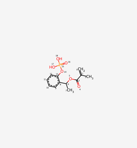 C=C(C)C(=O)OC(C)c1ccccc1OP(=O)(O)O